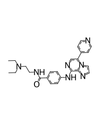 CCN(CC)CCNC(=O)c1ccc(Nc2ncc(-c3ccncc3)n3ccnc23)cc1